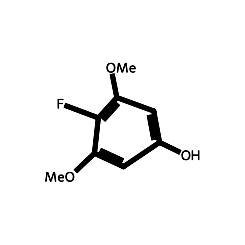 COc1cc(O)cc(OC)c1F